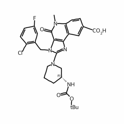 Cn1c(=O)c2c(nc(N3CCC[C@@H](NC(=O)OC(C)(C)C)C3)n2Cc2cc(F)ccc2Cl)c2cc(C(=O)O)ccc21